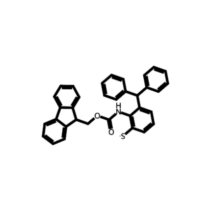 O=C(Nc1c([S])cccc1C(c1ccccc1)c1ccccc1)OCC1c2ccccc2-c2ccccc21